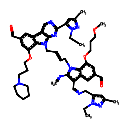 C=Nc1c(/C=N\Cc2cc(C)nn2CC)c2cc(C=O)cc(OCCCOC)c2n1C/C=C/Cn1c2nc(-c3cc(C)nn3CC)ncc2c2cc(C=O)cc(OCCCN3CCCCC3)c21